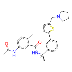 CC(=O)Nc1ccc(C)c(C(=O)N[C@H](C)c2cccc(-c3ccc(CN4CCCC4)s3)c2)c1